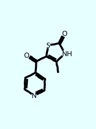 Cc1[nH]c(=O)sc1C(=O)c1ccncc1